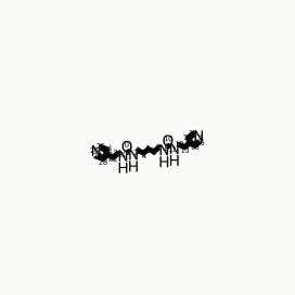 O=C(NCCCCCNC(=O)NCCc1ccncc1)NCCc1ccncc1